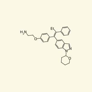 CCC(=C(c1ccc(OCCN)cc1)c1ccc2c(cnn2C2CCCCO2)c1)c1ccccc1